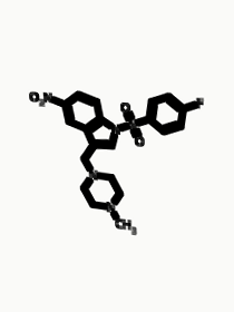 CN1CCN(Cc2cn(S(=O)(=O)c3ccc(F)cc3)c3ccc([N+](=O)[O-])cc23)CC1